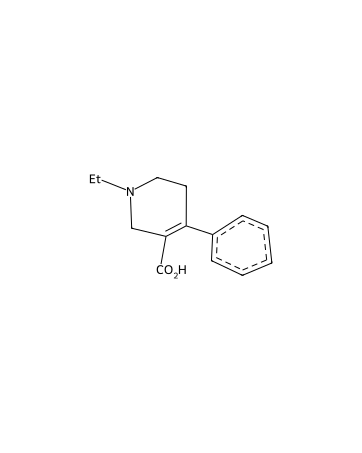 CCN1CCC(c2ccccc2)=C(C(=O)O)C1